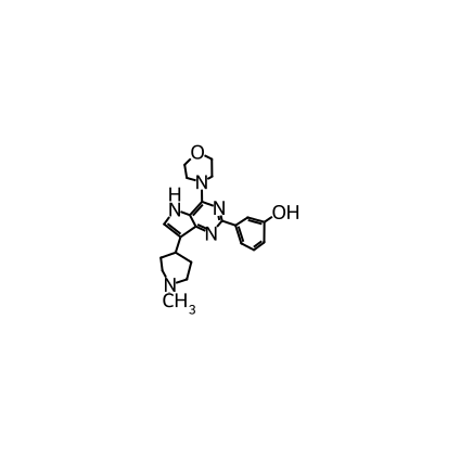 CN1CCC(c2c[nH]c3c(N4CCOCC4)nc(-c4cccc(O)c4)nc23)CC1